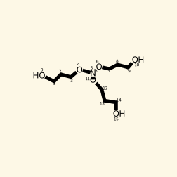 OCCCON(OCCCO)OCCCO